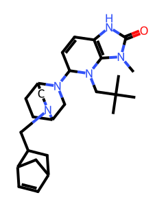 Cn1c2c([nH]c1=O)C=CC(N1CC3CCC1CN3CC1CC3C=CC1C3)N2CC(C)(C)C